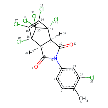 Cc1ccc(N2C(=O)[C@@H]3[C@H](C2=O)[C@]2(Cl)C(Cl)=C(Cl)[C@@]3(Cl)C2(Cl)Cl)cc1Cl